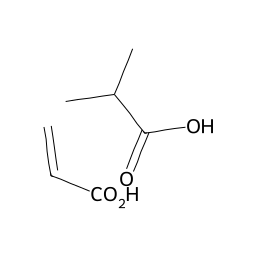 C=CC(=O)O.CC(C)C(=O)O